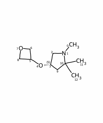 CN1C[C@@H](OC2COC2)CC1(C)C